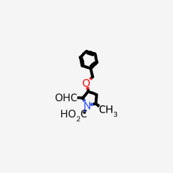 CC1CC(OCc2ccccc2)C(C=O)N1C(=O)O